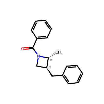 C[C@@H]1[C@@H](Cc2ccccc2)CN1C(=O)c1ccccc1